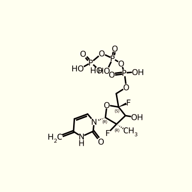 C=C1C=CN([C@@H]2O[C@](F)(COP(=O)(O)OP(=O)(O)OP(=O)(O)O)C(O)[C@@]2(C)F)C(=O)N1